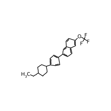 CCC1CCC(c2ccc(-c3ccc4cc(OC(F)(F)F)ccc4c3)cc2)CC1